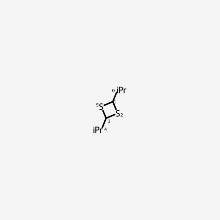 CC(C)C1SC(C(C)C)S1